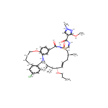 CCCO[C@H]1/C=C/C[C@H](C)CS(=O)(/C=N\C(=O)c2cn(C)nc2OC)=NC(=O)c2ccc3c(c2)N(Cc2ccc(Cl)cc2CCCCO3)C[C@H](C)[C@H]1C